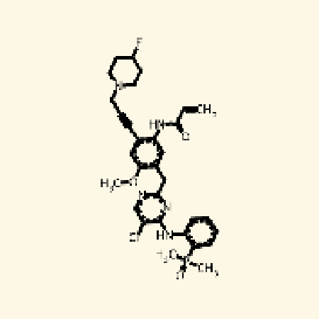 C=CC(=O)Nc1cc(Cc2ncc(Cl)c(Nc3ccccc3P(C)(C)=O)n2)c(OC)cc1C#CCN1CCC(F)CC1